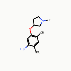 CCN1CCC(Oc2cc(N)c([N+](=O)[O-])cc2C#N)C1